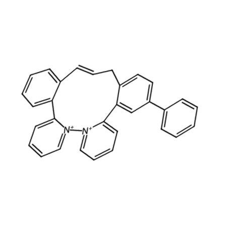 C1=C/c2ccccc2-c2cccc[n+]2-[n+]2ccccc2-c2cc(-c3ccccc3)ccc2C/1